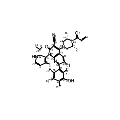 C=CC(=O)N1[C@H](C)CN(c2c(C#N)c(=O)n(C3=C(C)C=CN[C@@H]3C(C)C)c3nc(-c4c(F)c(F)c(F)c(O)c4Cl)c(Cl)cc23)C[C@@H]1C